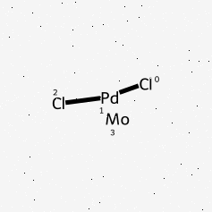 [Cl][Pd][Cl].[Mo]